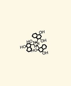 Oc1cc(O)c2ccccc2c1-c1nc(-c2c(O)cc(O)c3ccccc23)nc(-c2c(O)cc(O)c3ccccc23)n1